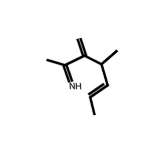 C=C(C(C)=N)C(C)/C=C/C